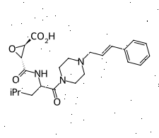 CC(C)CC(NC(=O)[C@@H]1O[C@H]1C(=O)O)C(=O)N1CCN(CC=Cc2ccccc2)CC1